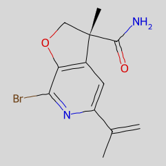 C=C(C)c1cc2c(c(Br)n1)OC[C@]2(C)C(N)=O